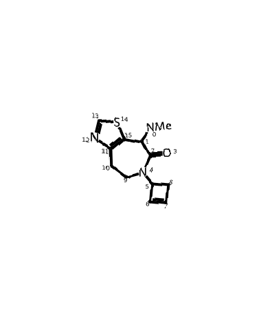 CNC1C(=O)N(C2C=CC2)CCc2ncsc21